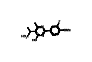 COc1ccc(-c2nc(C)c(C(C)C(=O)O)c(O)n2)cc1F